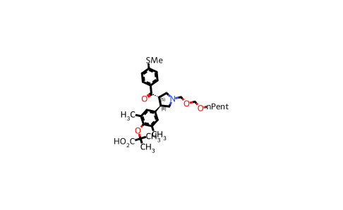 CCCCCOCOCN1C[C@@H](C(=O)c2ccc(SC)cc2)[C@H](c2cc(C)c(OC(C)(C)C(=O)O)c(C)c2)C1